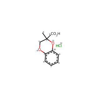 CC1(C(=O)O)COc2ccccc2O1.Cl